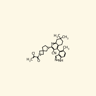 C=C(Cl)C(=O)N1CC2(CCN(c3nc4c(c(-c5c(C)ccc6[nH]ncc56)c3C#N)CCC(C)(C)C4)C2)C1